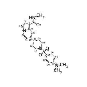 CNC(=O)c1cnn2ccc(C3CCN(S(=O)(=O)c4ccc(N(C)C)cc4)CC3)cc12